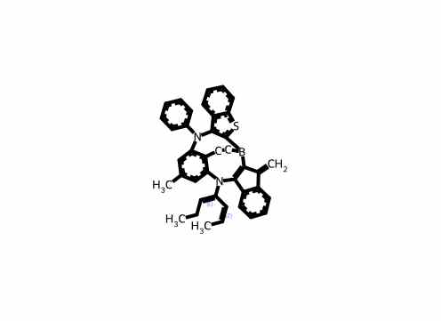 C=C1C2=C(c3ccccc31)N(C(/C=C\C)=C/CC)c1cc(C)cc3c1CCB2c1sc2ccccc2c1N3c1ccccc1